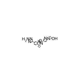 Nc1ncc(-c2ccc(C3(c4noc(-c5ccc(N6CCC(O)C6)nc5)n4)CCC3)cc2)cn1